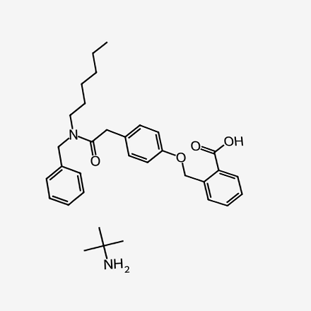 CC(C)(C)N.CCCCCCN(Cc1ccccc1)C(=O)Cc1ccc(OCc2ccccc2C(=O)O)cc1